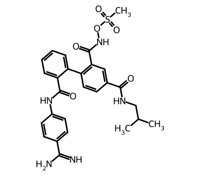 CC(C)CNC(=O)c1ccc(-c2ccccc2C(=O)Nc2ccc(C(=N)N)cc2)c(C(=O)NOS(C)(=O)=O)c1